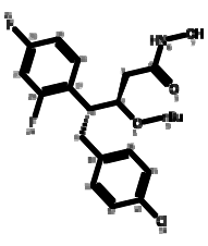 CCCCO[C@H](CC(=O)NO)[C@H](Cc1ccc(Cl)cc1)c1ccc(F)cc1F